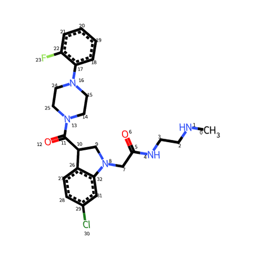 CNCCNC(=O)CN1CC(C(=O)N2CCN(c3ccccc3F)CC2)c2ccc(Cl)cc21